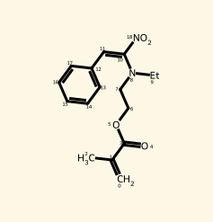 C=C(C)C(=O)OCCN(CC)C(=Cc1ccccc1)[N+](=O)[O-]